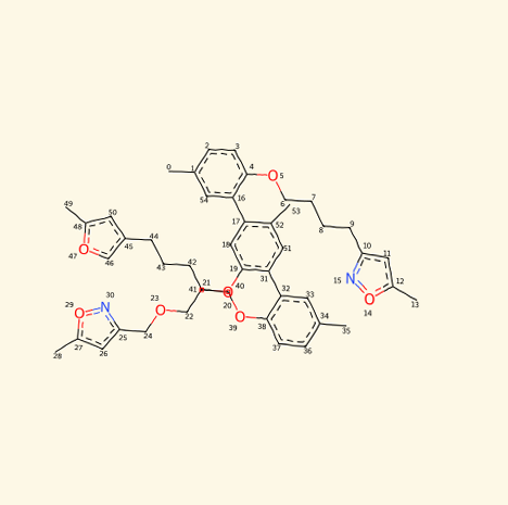 Cc1ccc(OCCCCc2cc(C)on2)c(-c2cc(OCCOCc3cc(C)on3)c(-c3cc(C)ccc3OCCCCCc3coc(C)c3)cc2C)c1